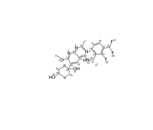 COc1nc2nc(C)nc(N[C@@H](C)c3cccc(C(F)F)c3F)c2cc1C1(O)CCC(O)CC1